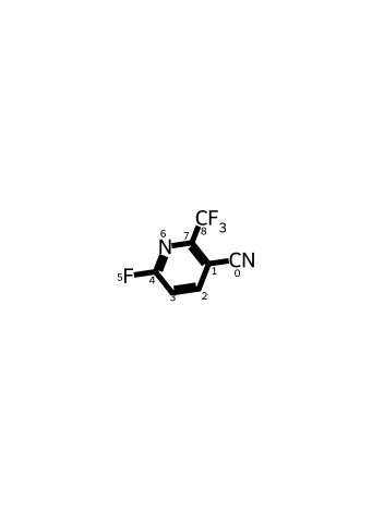 N#Cc1ccc(F)nc1C(F)(F)F